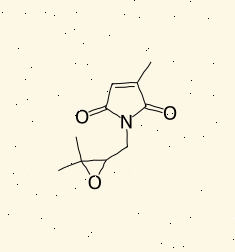 CC1=CC(=O)N(CC2OC2(C)C)C1=O